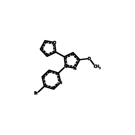 COc1cc(-c2ccco2)n(-c2ccc(Br)cn2)n1